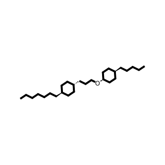 CCCCCCC[C@H]1CC[C@H](CCCO[C@H]2CC[C@H](CCCCC)CC2)CC1